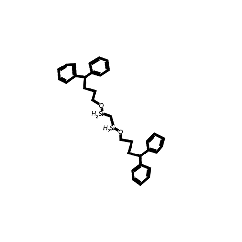 c1ccc(C(CCCO[SiH2]C[SiH2]OCCCC(c2ccccc2)c2ccccc2)c2ccccc2)cc1